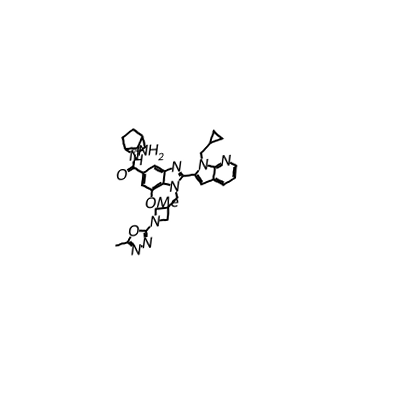 COc1cc(C(=O)N2CC3CCC2[C@@H]3N)cc2nc(-c3cc4cccnc4n3CC3CC3)n(CC3CN(c4nnc(C)o4)C3)c12